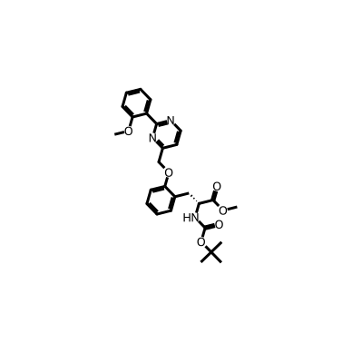 COC(=O)[C@@H](Cc1ccccc1OCc1ccnc(-c2ccccc2OC)n1)NC(=O)OC(C)(C)C